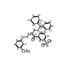 CC(=O)Oc1cccc(CCCN(CCC(c2ccccc2)c2ccccc2)C(=O)c2cccc(S(C)(=O)=O)c2)c1